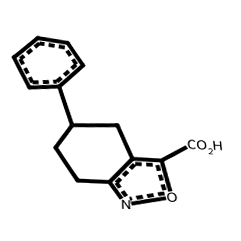 O=C(O)c1onc2c1CC(c1ccccc1)CC2